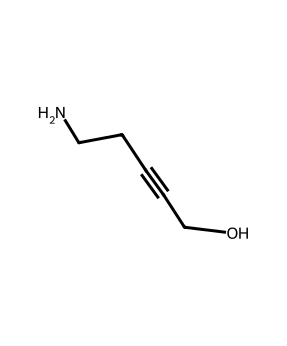 NCCC#CCO